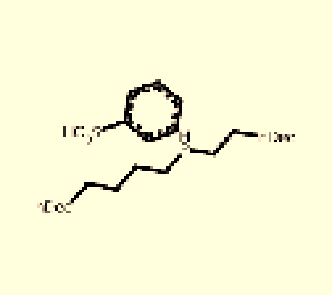 CCCCCCCCCCCCCCPCCCCCCCCCCCC.O=S(=O)(O)c1ccccc1